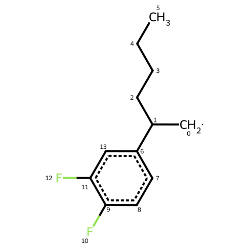 [CH2]C(CCCC)c1ccc(F)c(F)c1